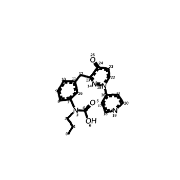 CCCN(C(=O)O)c1cccc(Cc2nn(-c3ccncc3)ccc2=O)c1